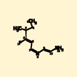 CCC(C)/C(F)=C/C=N\C=C\N